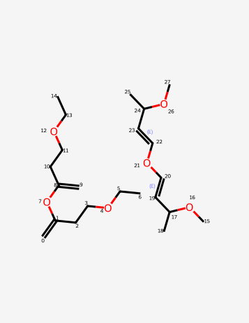 C=C(CCOCC)OC(=C)CCOCC.COC(C)/C=C/O/C=C/C(C)OC